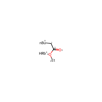 CCCCCC(=O)OCC.[RbH]